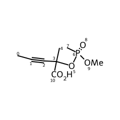 CC#CC(C)(OP(C)(=O)OC)C(=O)O